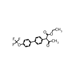 CCOC(=O)C(C(C)=O)c1ccc(-c2ccc(OC(F)(F)F)cc2)cc1